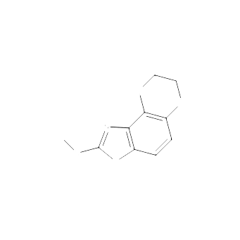 CCSc1nc2c3c(ccc2s1)OCCO3